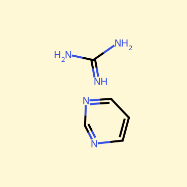 N=C(N)N.c1cncnc1